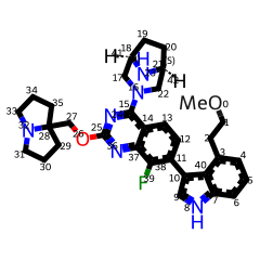 COCCc1cccc2[nH]cc(-c3ccc4c(N5C[C@H]6CC[C@@H](C5)N6)nc(OCC56CCCN5CCC6)nc4c3F)c12